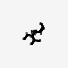 C/C=C\NC(CC)C(C)C